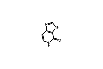 O=c1[nH]ccc2nc[nH]c12